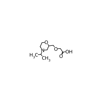 CC(C)N1CCOC(COCC(=O)O)C1